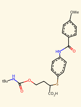 COc1ccc(C(=O)Nc2ccc(SC(CCOC(=O)NC(C)(C)C)C(=O)O)cc2)cc1